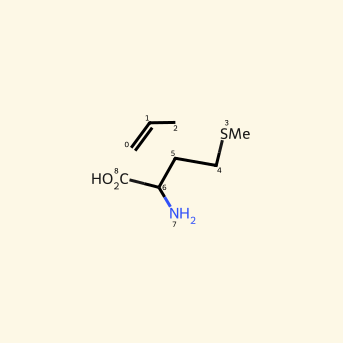 C=CC.CSCCC(N)C(=O)O